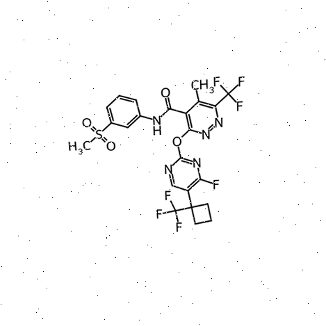 Cc1c(C(F)(F)F)nnc(Oc2ncc(C3(C(F)(F)F)CCC3)c(F)n2)c1C(=O)Nc1cccc(S(C)(=O)=O)c1